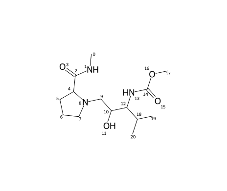 CNC(=O)C1CCCN1CC(O)C(NC(=O)OC)C(C)C